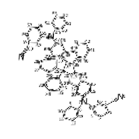 N#Cc1cccc(N(c2ccccc2)c2ccc3cc4c(cc3c2)C(c2ccccc2)(c2ccccc2)c2c-4c3ccccc3c3cc(N(c4ccccc4)c4cccc(C#N)c4)ccc23)c1